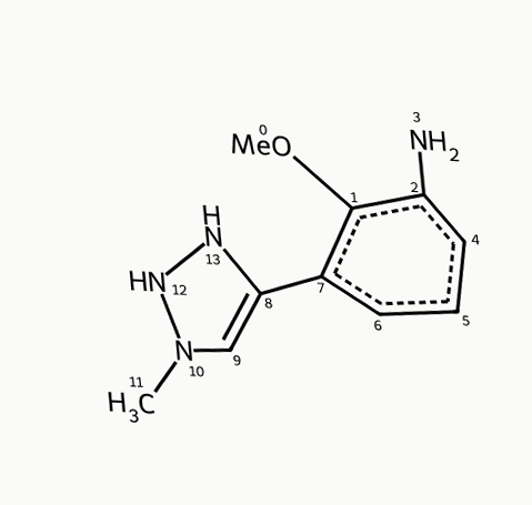 COc1c(N)cccc1C1=CN(C)NN1